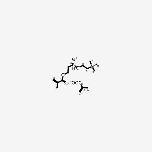 C=C(C)C(=O)OCC[PH](=O)OCC[N+](C)(C)C.C=C(C)C(=O)[O-]